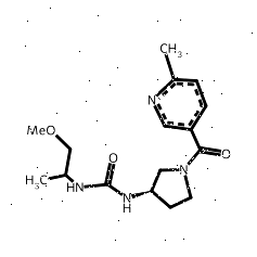 COCC(C)NC(=O)N[C@@H]1CCN(C(=O)c2ccc(C)nc2)C1